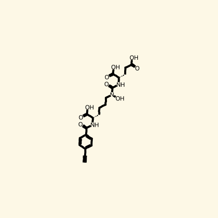 C#Cc1ccc(C(=O)N[C@@H](CCCCN(O)C(=O)N[C@@H](CCC(=O)O)C(=O)O)C(=O)O)cc1